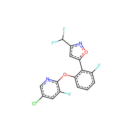 Fc1cc(Cl)cnc1Oc1cccc(F)c1-c1cc(C(F)F)no1